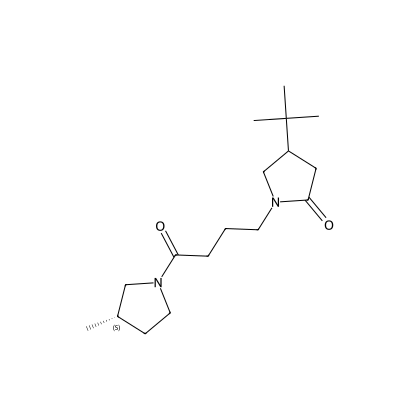 C[C@H]1CCN(C(=O)CCCN2CC(C(C)(C)C)CC2=O)C1